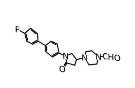 O=CN1CCN(C2CC(=O)N(c3ccc(-c4ccc(F)cc4)cc3)C2)CC1